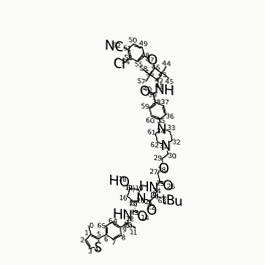 Cc1ccsc1-c1ccc([C@H](C)NC(=O)[C@@H]2C[C@@H](O)CN2C(=O)[C@@H](NC(=O)COCCN2CCN(c3ccc(C(=O)N[C@H]4C(C)(C)[C@H](Oc5ccc(C#N)c(Cl)c5)C4(C)C)cc3)CC2)C(C)(C)C)cc1